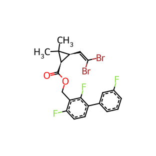 CC1(C)[C@H](C(=O)OCc2c(F)ccc(-c3cccc(F)c3)c2F)[C@@H]1C=C(Br)Br